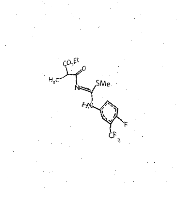 CCOC(=O)C(C)C(=O)/N=C(/Nc1ccc(F)c(C(F)(F)F)c1)SC